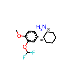 COc1ccc([C@H]2CCCC[C@H]2N)cc1OC(F)F